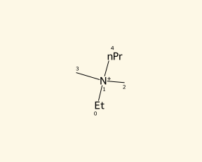 [CH2]C[N+](C)(C)CCC